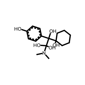 CN(C)C(O)(O)C(O)(c1ccc(O)cc1)C1(O)CCCCC1